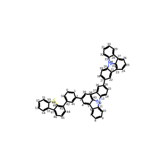 c1cc(-c2cc3c4ccccc4n4c5ccc(-c6ccc7c(c6)c6cccc8c9ccccc9n7c86)cc5c(c2)c34)cc(-c2cccc3c2sc2ccccc23)c1